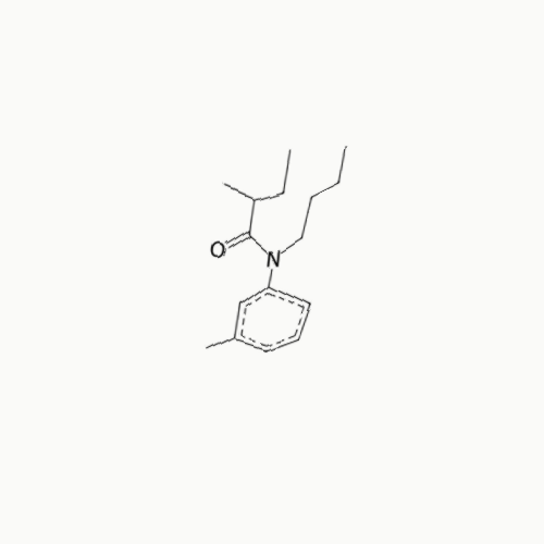 CCCCN(C(=O)C(C)CC)c1cccc(C)c1